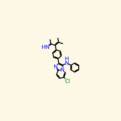 CC(=N)C(=C(C)C)c1ccc(-c2nc3ccc(Cl)cn3c2Nc2ccccc2)cc1